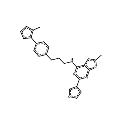 Cc1cc2c(NCCCc3ccc(-c4cccn4C)cc3)nc(-c3ccoc3)nc2s1